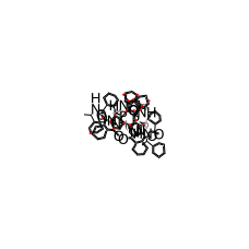 CC(NC(=O)c1ccccc1[C@@H]1n2c(=O)c3ccccc3c(=O)n2[C@@H](c2ccccc2C(=O)NC(C)c2ccccc2)P1c1ccccc1P1[C@H](c2ccccc2C(=O)NC(C)c2ccccc2)n2c(=O)c3ccccc3c(=O)n2[C@H]1c1ccccc1C(=O)N[C@@H](C)c1ccccc1)c1ccccc1